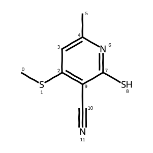 CSc1cc(C)nc(S)c1C#N